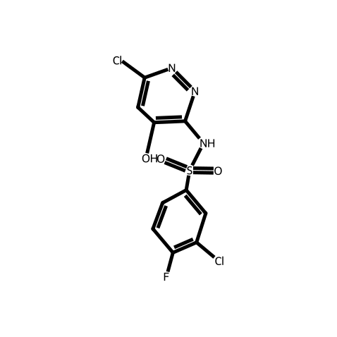 O=S(=O)(Nc1nnc(Cl)cc1O)c1ccc(F)c(Cl)c1